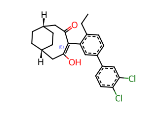 CCc1ccc(-c2ccc(Cl)c(Cl)c2)cc1/C1=C(\O)C[C@H]2CC[C@H](CC2)CC1=O